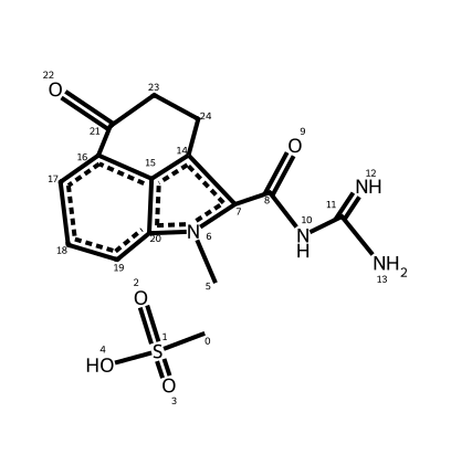 CS(=O)(=O)O.Cn1c(C(=O)NC(=N)N)c2c3c(cccc31)C(=O)CC2